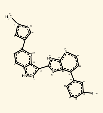 Cn1cc(-c2ccc3[nH]nc(-c4nc5c(-c6cccc(F)c6)ccnc5[nH]4)c3n2)cn1